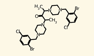 CC(C(=O)C(C)N1CCN(Cc2cc(Cl)ccc2Br)CC1)N1CCN(Cc2cc(Cl)ccc2Br)CC1